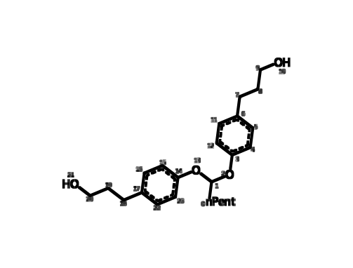 CCCCCC(Oc1ccc(CCCO)cc1)Oc1ccc(CCCO)cc1